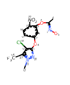 CC(=N[O])Oc1cc(Oc2nn(C)c(C(F)(F)F)c2Cl)ccc1[N+](=O)[O-]